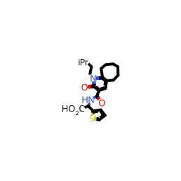 CC(C)CCn1c2c(cc(C(=O)NC(C(=O)O)c3cccs3)c1=O)CCCCCC2